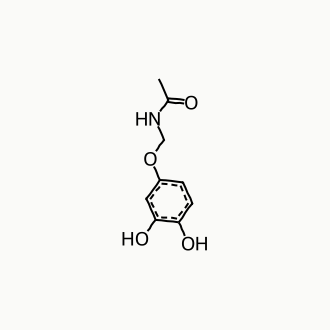 CC(=O)NCOc1ccc(O)c(O)c1